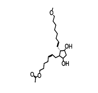 COCCCCCC/C=C/[C@H]1C(C/C=C\CCCCOC(C)=O)[C@H](O)C[C@@H]1O